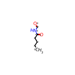 CCCCC(=O)NC=O